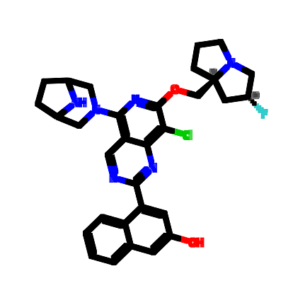 Oc1cc(-c2ncc3c(N4CC5CCC(C4)N5)nc(OC[C@@]45CCCN4C[C@H](F)C5)c(Cl)c3n2)c2ccccc2c1